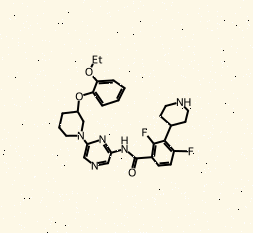 CCOc1ccccc1OC1CCCN(c2cncc(NC(=O)c3ccc(F)c(C4CCNCC4)c3F)n2)C1